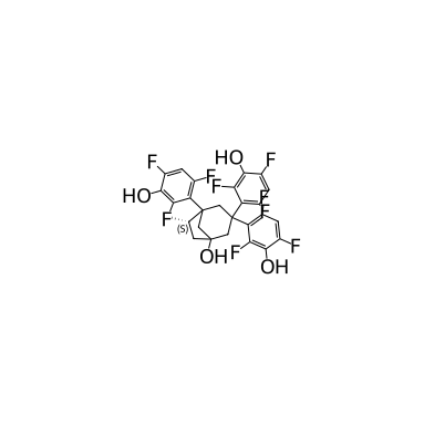 C[C@H]1CC2(O)CC(c3c(F)cc(F)c(O)c3F)(c3c(F)cc(F)c(O)c3F)CC1(c1c(F)cc(F)c(O)c1F)C2